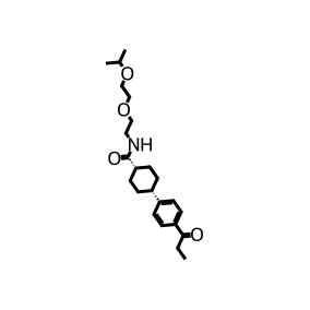 CCC(=O)c1ccc([C@H]2CC[C@@H](C(=O)NCCOCCOC(C)C)CC2)cc1